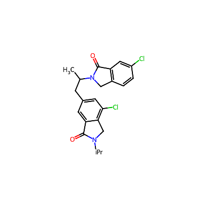 CC(C)N1Cc2c(Cl)cc(CC(C)N3Cc4ccc(Cl)cc4C3=O)cc2C1=O